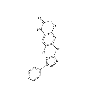 O=C1COc2cc(Nc3ncc(-c4ccccc4)o3)c(Cl)cc2N1